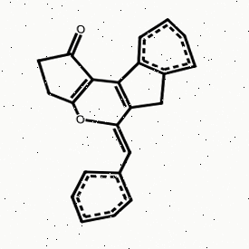 O=C1CCC2=C1C1=C(Cc3ccccc31)C(=Cc1ccccc1)O2